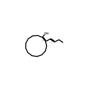 CC/C=C/C1=C(\O)CCCCCCCCCCC1